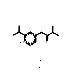 CC(C)C(=O)Cc1cnnc(C(C)C)c1